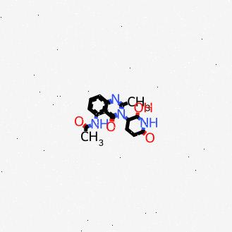 CC(=O)Nc1cccc2nc(C)n(C3CCC(=O)NC3O)c(=O)c12